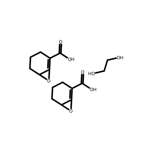 O=C(O)C1=C2OC2CCC1.O=C(O)C1=C2OC2CCC1.OCCO